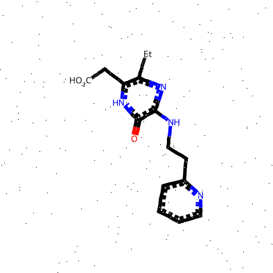 CCc1nc(NCCc2ccccn2)c(=O)[nH]c1CC(=O)O